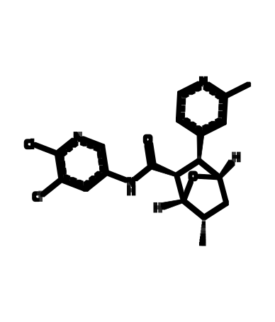 Cc1cc([C@@H]2[C@H](C(=O)Nc3cnc(Cl)c(Cl)c3)[C@@H]3O[C@H]2C[C@@H]3C)ccn1